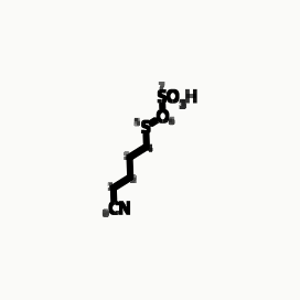 N#CCCCCSOS(=O)(=O)O